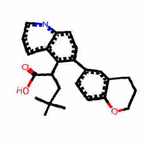 CC(C)(C)CC(C(=O)O)c1c(-c2ccc3c(c2)CCCO3)ccc2ncccc12